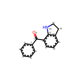 O=C(c1ccccc1)c1cccc2c1NCC2